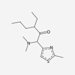 CCCC(CC)C(=O)C(c1csc(C)n1)N(C)C